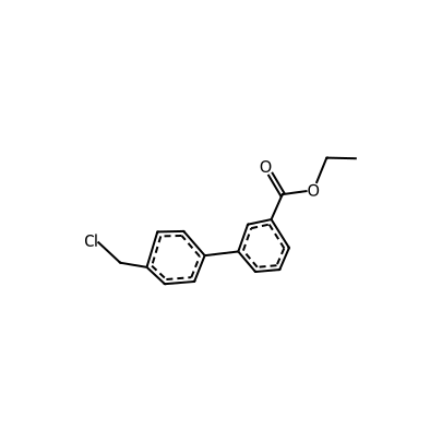 CCOC(=O)c1cccc(-c2ccc(CCl)cc2)c1